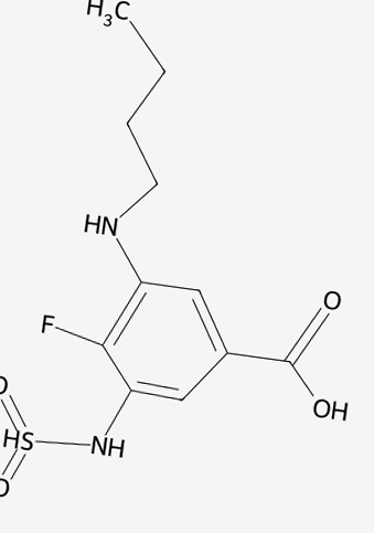 CCCCNc1cc(C(=O)O)cc(N[SH](=O)=O)c1F